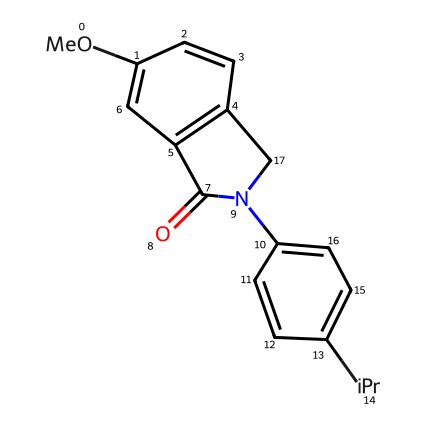 COc1ccc2c(c1)C(=O)N(c1ccc(C(C)C)cc1)C2